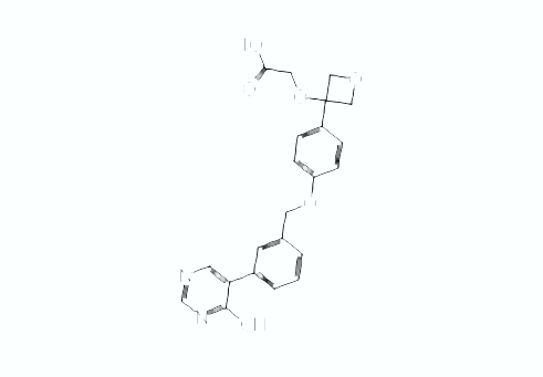 Cc1ncncc1-c1cccc(COc2ccc(C3(OCC(=O)O)COC3)cc2)c1